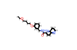 CCOCCCCOc1cccc(CNC(=O)c2ccc3ncccc3n2)c1